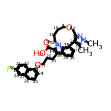 Cc1c2c(nn1C)COCCCCn1c(C(=O)O)c(CCCOc3cccc4cc(F)ccc34)c3cccc-2c31